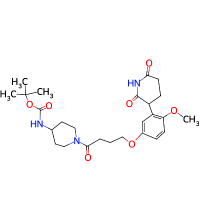 COc1ccc(OCCCC(=O)N2CCC(NC(=O)OC(C)(C)C)CC2)cc1C1CCC(=O)NC1=O